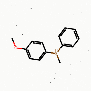 COc1ccc([SH](C)c2ccccc2)cc1